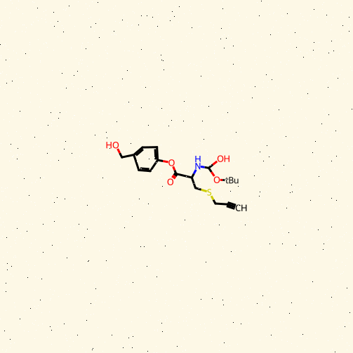 C#CCSCC(NC(O)OC(C)(C)C)C(=O)Oc1ccc(CO)cc1